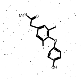 CNC(=O)Cc1cc(I)c(Oc2ccc(O)cc2)c(I)c1